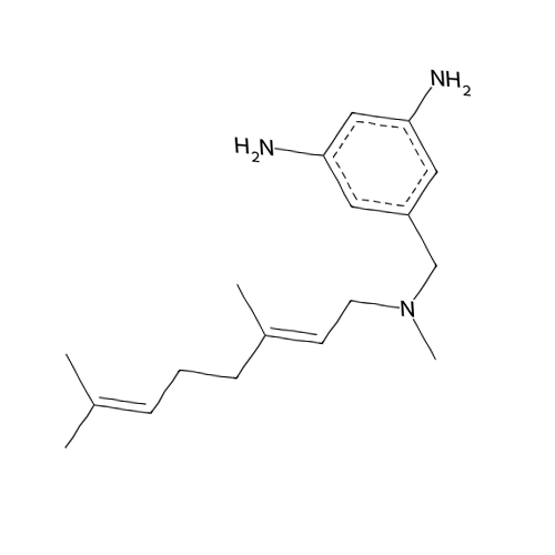 CC(C)=CCC/C(C)=C/CN(C)Cc1cc(N)cc(N)c1